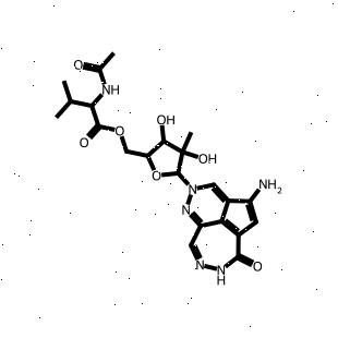 CC(=O)NC(C(=O)OCC1OC(n2cc3c(N)cc4c(=O)[nH]ncc(n2)c34)C(C)(O)C1O)C(C)C